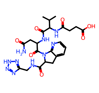 CC(C)C(NC(=O)CCC(=O)O)C(=O)NC(CC(N)=O)C(=O)N1c2ncccc2CC1C(=O)NCc1nn[nH]n1